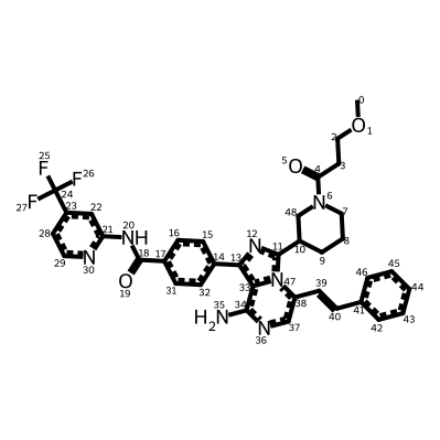 COCCC(=O)N1CCCC(c2nc(-c3ccc(C(=O)Nc4cc(C(F)(F)F)ccn4)cc3)c3c(N)ncc(C=Cc4ccccc4)n23)C1